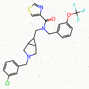 O=C(c1cscn1)N(Cc1cccc(OC(F)(F)F)c1)CC1C2CN(Cc3cccc(Cl)c3)CC21